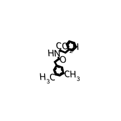 Cc1cc(C)cc(CC(=O)NC(Cc2ccccc2)C(=O)O)c1